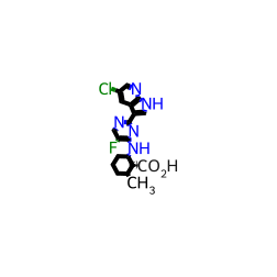 CC1CCCC(Nc2nc(-c3c[nH]c4ncc(Cl)cc34)ncc2F)[C@H]1C(=O)O